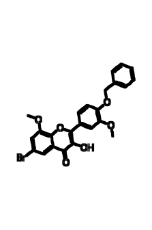 COc1cc(-c2oc3c(OC)cc(Br)cc3c(=O)c2O)ccc1OCc1ccccc1